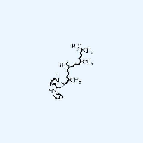 CC(=CSCC(Nc1cocn1)c1ncc[nH]1)CCCC(C)CCCC(C)CCCC(C)C